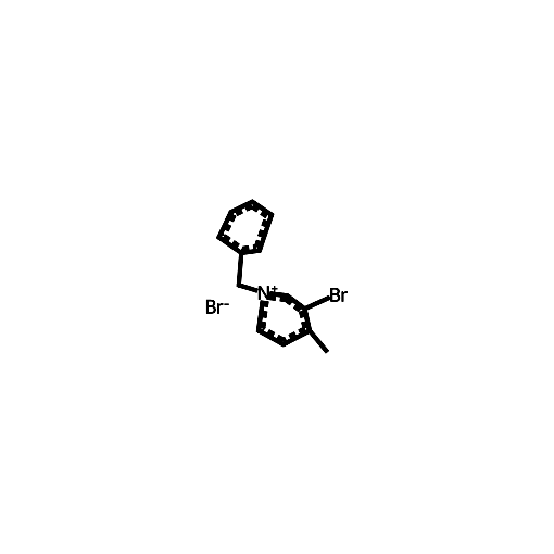 Cc1cc[n+](Cc2ccccc2)cc1Br.[Br-]